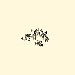 Cc1ccc(NS(=O)(=O)c2ccc(Cl)c(Cl)c2)c(=O)n1CC(=O)NCCONC(=N)N.O=C(O)C(F)(F)F